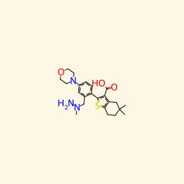 CN(N)Cc1cc(N2CCOCC2)ccc1-c1sc2c(c1C(=O)O)CC(C)(C)CC2